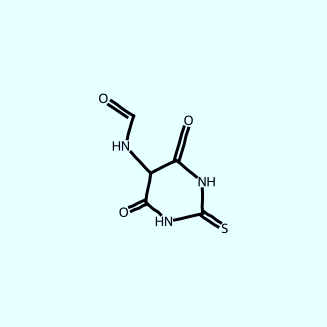 O=CNC1C(=O)NC(=S)NC1=O